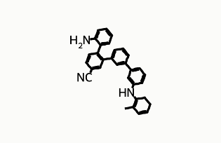 CC1=C(Nc2cccc(-c3cccc(-c4cc(C#N)ccc4-c4ccccc4N)c3)c2)CCC=C1